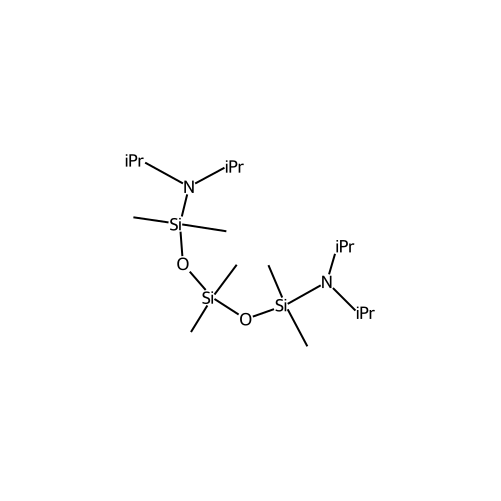 CC(C)N(C(C)C)[Si](C)(C)O[Si](C)(C)O[Si](C)(C)N(C(C)C)C(C)C